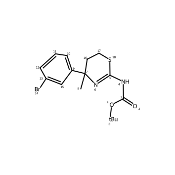 CC(C)(C)OC(=O)NC1=NC(C)(c2cccc(Br)c2)CCS1